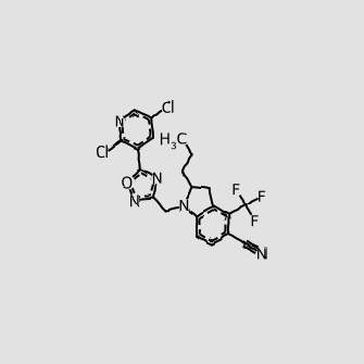 CCCC1Cc2c(ccc(C#N)c2C(F)(F)F)N1Cc1noc(-c2cc(Cl)cnc2Cl)n1